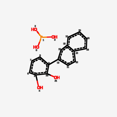 OP(O)O.Oc1cccc(-c2ccc3ccccc3c2)c1O